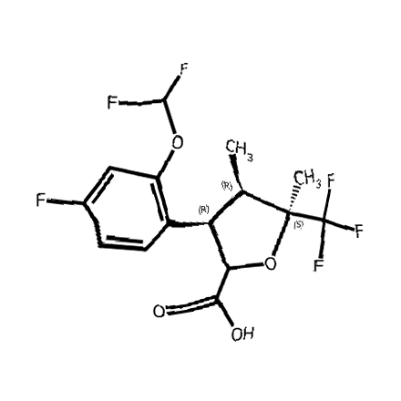 C[C@@H]1[C@H](c2ccc(F)cc2OC(F)F)C(C(=O)O)O[C@]1(C)C(F)(F)F